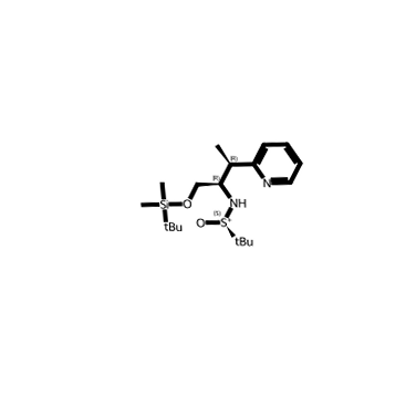 C[C@@H](c1ccccn1)[C@H](CO[Si](C)(C)C(C)(C)C)N[S@+]([O-])C(C)(C)C